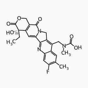 CC[C@@]1(O)C(=O)OCc2c1cc1n(c2=O)Cc2c-1nc1cc(F)c(C)cc1c2CN(C)C(=O)O